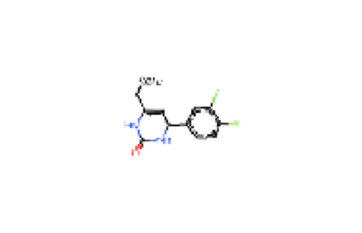 COCC1=CC(c2ccc(F)c(F)c2)NC(=O)N1